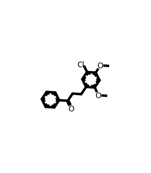 COc1cc(OC)c(CCC(=O)c2ccccc2)cc1Cl